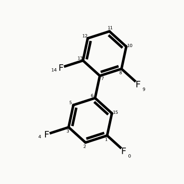 Fc1[c]c(F)cc(-c2c(F)cccc2F)c1